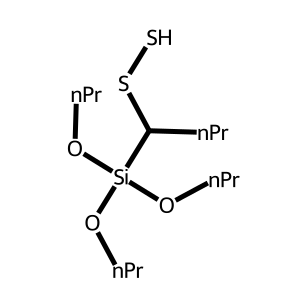 CCCO[Si](OCCC)(OCCC)C(CCC)SS